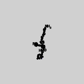 CC1=C=CCN(CCCNC(=O)c2ccc(N3CCN(CCOCCOCCOCCN)CC3)c(C#Cc3ccc(F)cc3)c2)/C(C)=N\C1